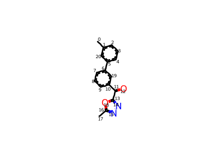 Cc1cccc(-c2cccc(C(=O)c3nnc(C)o3)c2)c1